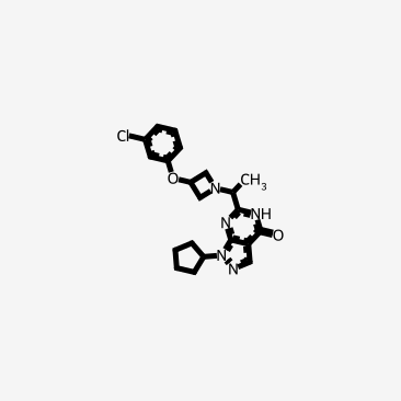 CC(c1nc2c(cnn2C2CCCC2)c(=O)[nH]1)N1CC(Oc2cccc(Cl)c2)C1